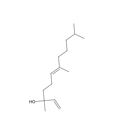 C=CC(C)(O)CC/C=C(\C)CCCC(C)C